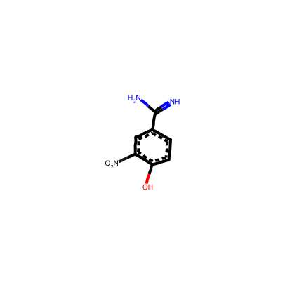 N=C(N)c1ccc(O)c([N+](=O)[O-])c1